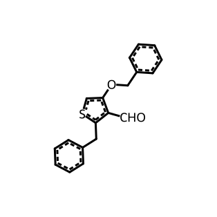 O=Cc1c(OCc2ccccc2)csc1Cc1ccccc1